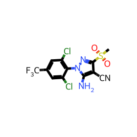 CS(=O)(=O)c1nn(-c2c(Cl)cc(C(F)(F)F)cc2Cl)c(N)c1C#N